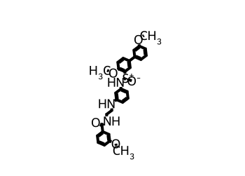 COc1cccc(C(=O)NCCNc2cccc(N[S+]([O-])c3cc(-c4cccc(OC)c4)ccc3OC)c2)c1